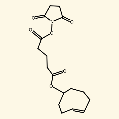 O=C(CCCC(=O)ON1C(=O)CCC1=O)OC1CC/C=C/CCC1